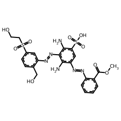 COC(=O)c1ccccc1/N=N/c1cc(S(=O)(=O)O)c(N)c(/N=N/c2cc(S(=O)(=O)CCO)ccc2CO)c1N